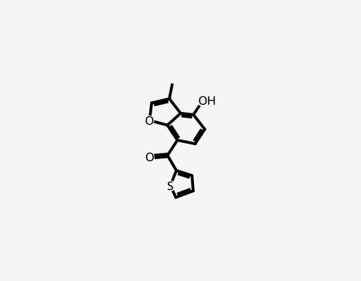 Cc1coc2c(C(=O)c3cccs3)ccc(O)c12